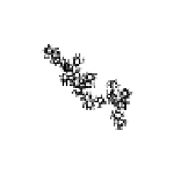 c1ccc(-c2nc(-c3ccc(-c4cccc5cc(-c6cccc7c6c6ccc8ccccc8c6n7-c6cccc7c6oc6nccc(-c8nc(-c9ccccc9)nc(-c9ccc%10c(c9)sc9ccccc9%10)n8)c67)ccc45)cc3)nc(-c3cc(-c4ccc5ccccc5c4)nc4oc5ccccc5c34)n2)cc1